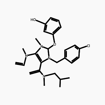 C=CN(C)C1=C(C(=C)N(C)CC(C)C)N(Cc2ccc(Cl)cc2)C(Oc2cccc(O)c2)N1C